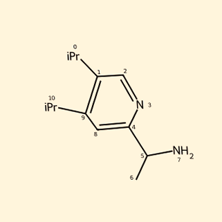 CC(C)c1cnc(C(C)N)cc1C(C)C